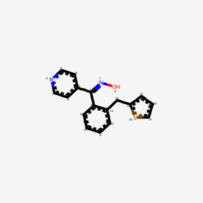 ON=C(c1ccncc1)c1ccccc1Cc1cccs1